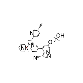 C#Cc1ccc(C2=CC(C(C)N3C4CC3CN(c3ccc(-c5cc(OCC(C)(C)O)cn6ncc(C#N)c56)cn3)C4)C2)nc1